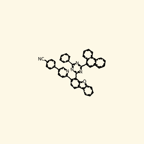 N#Cc1ccc(-c2ccc(-c3ccc4c(oc5ccccc54)c3-c3nc(-c4ccccc4)nc(-c4cc5ccccc5c5ccccc45)n3)nc2)cc1